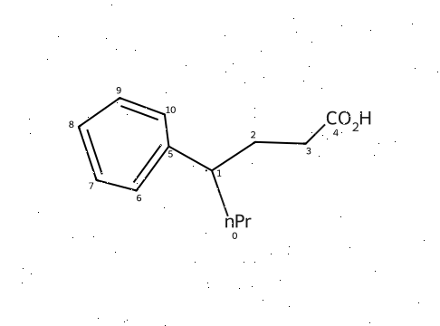 CCC[C](CCC(=O)O)c1ccccc1